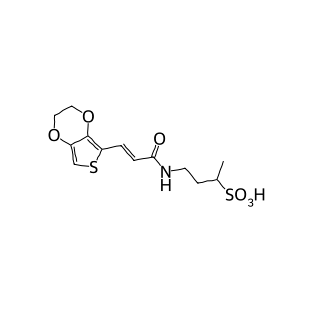 CC(CCNC(=O)C=Cc1scc2c1OCCO2)S(=O)(=O)O